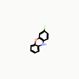 Fc1ccc2c(c1)Oc1ccccc1N2